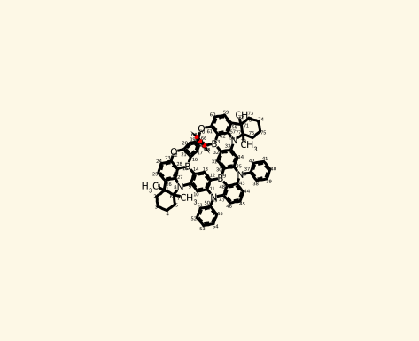 CC12CCCCC1(C)N1c3cc4c(cc3B3c5ccccc5Oc5ccc2c1c53)B1c2cc3c(cc2N(c2ccccc2)c2cccc(c21)N4c1ccccc1)N1c2c(ccc4c2B3c2ccccc2O4)C2(C)CCCCC12C